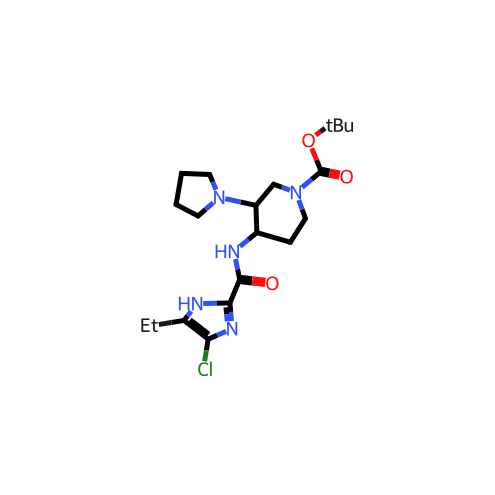 CCc1[nH]c(C(=O)NC2CCN(C(=O)OC(C)(C)C)CC2N2CCCC2)nc1Cl